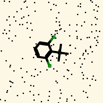 [CH3][Sn]([CH3])([CH3])[c]1c(Cl)cccc1Cl